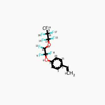 C=Cc1ccc(OC(F)(F)C(F)OC(F)(F)C(F)(F)C(F)(F)F)cc1